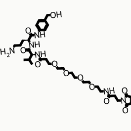 CC(C)[C@H](NC(=O)CCOCCOCCOCCOCCNC(=O)CCN1C(=O)C=CC1=O)C(=O)N[C@@H](CCCN)C(=O)Nc1ccc(CO)cc1